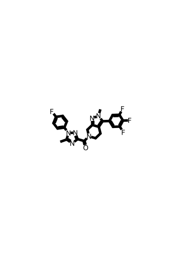 Cc1nc(C(=O)N2CCc3c(nn(C)c3-c3cc(F)c(F)c(F)c3)C2)nn1-c1ccc(F)cc1